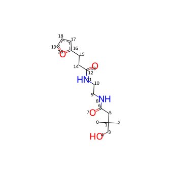 CC(C)(CO)CC(=O)NCCNC(=O)CCc1ccco1